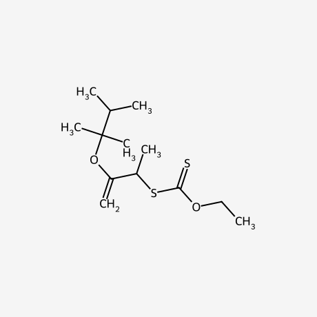 C=C(OC(C)(C)C(C)C)C(C)SC(=S)OCC